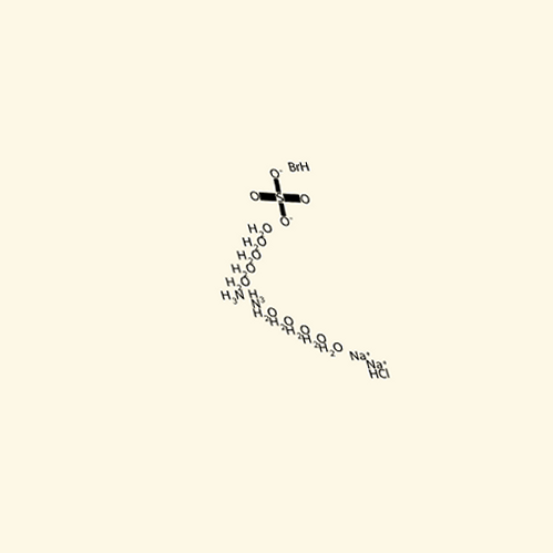 Br.Cl.N.N.O.O.O.O.O.O.O.O.O.O.O=S(=O)([O-])[O-].[Na+].[Na+]